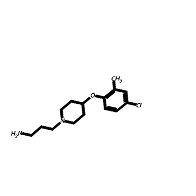 Cc1cc(Cl)ccc1OC1CCN(CCCN)CC1